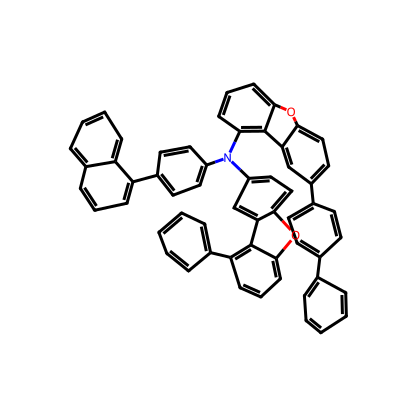 c1ccc(-c2ccc(-c3ccc4oc5cccc(N(c6ccc(-c7cccc8ccccc78)cc6)c6ccc7oc8cccc(-c9ccccc9)c8c7c6)c5c4c3)cc2)cc1